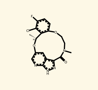 C[C@H]1Oc2cnc3[nH]nc(c3c2)C(=O)N(C)CCOc2ccc(F)c(Cl)c21